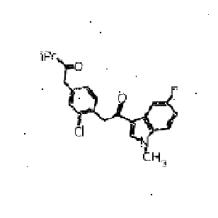 CC(C)C(=O)Cc1ccc(CC(=O)c2cn(C)c3ccc(F)cc23)c(Cl)c1